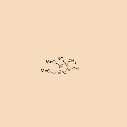 COC[C@H]1O[C@@H](O)[C@](C)(C#N)[C@@H]1OC